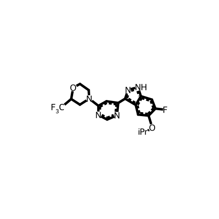 CC(C)Oc1cc2c(-c3cc(N4CCOC(C(F)(F)F)C4)ncn3)n[nH]c2cc1F